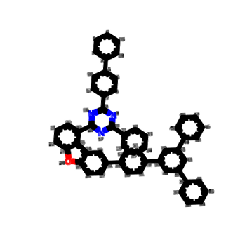 c1ccc(-c2ccc(-c3nc(-c4ccccc4)nc(-c4cccc5oc6ccc(-c7ccc(-c8cc(-c9ccccc9)cc(-c9ccccc9)c8)cc7)cc6c45)n3)cc2)cc1